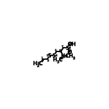 C=CCSSCC(CS(=O)O)N(C)C